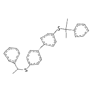 CC(Sc1ccc(-c2ccc(SC(C)(C)c3ccccc3)cc2)cc1)c1ccccc1